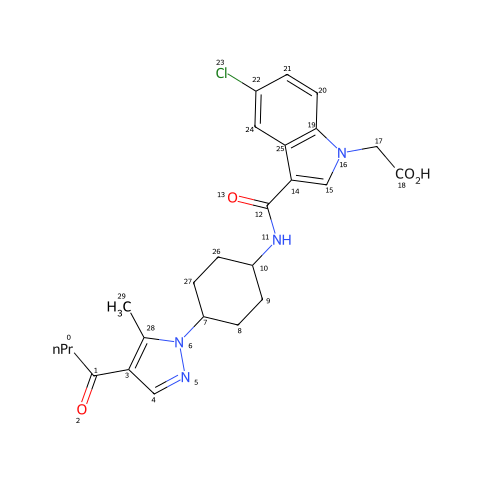 CCCC(=O)c1cnn(C2CCC(NC(=O)c3cn(CC(=O)O)c4ccc(Cl)cc34)CC2)c1C